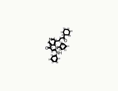 O=C(CCc1cncc2c(=O)cc(Nc3ccccc3)n(-c3ccccc3)c12)C1CCCCC1